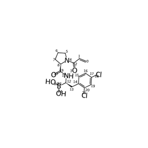 C=CC(=O)N1CCC[C@@H]1C(=O)N[C@@H](Cc1ccc(Cl)cc1Cl)B(O)O